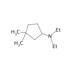 CCN(CC)C1CCC(C)(C)C1